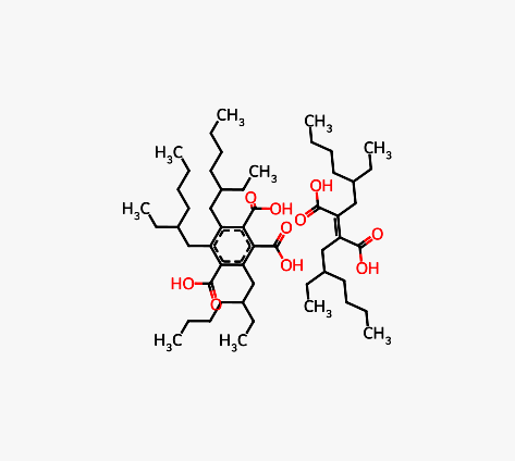 CCCCC(CC)C/C(C(=O)O)=C(/CC(CC)CCCC)C(=O)O.CCCCC(CC)Cc1c(CC(CC)CCCC)c(C(=O)O)c(C(=O)O)c(CC(CC)CCCC)c1C(=O)O